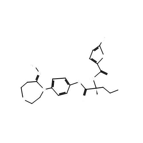 N#C/N=C1\CCOCCN1c1ccc(NC(=O)[C@@](I)(CCO)NC(=O)c2ccc(Br)s2)cc1